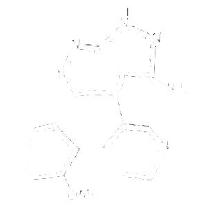 COc1cccc(-c2nnc3[nH]nc(N)c3c2-c2cccnc2)c1